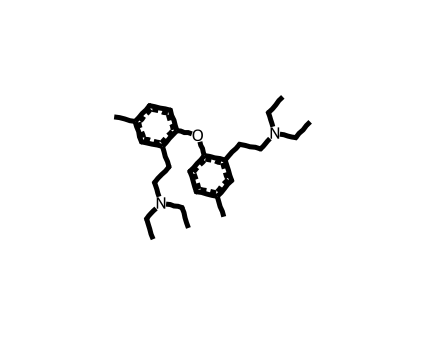 CCN(CC)CCc1cc(C)ccc1Oc1ccc(C)cc1CCN(CC)CC